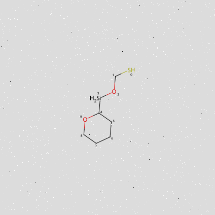 SCO[SiH2]C1CCCCO1